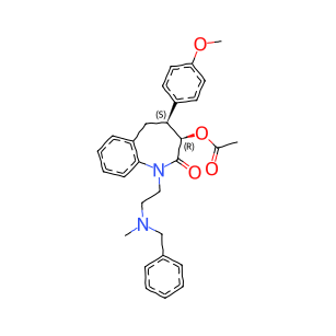 COc1ccc([C@@H]2Cc3ccccc3N(CCN(C)Cc3ccccc3)C(=O)[C@@H]2OC(C)=O)cc1